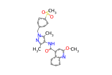 COc1cc(C(=O)Nc2c(C)nn(Cc3ccc(S(C)(=O)=O)cc3)c2C)c2ccccc2n1